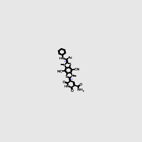 CC(=O)/C(Nc1ccccc1)=C1\Sc2c(C#N)c3c(c(C#N)c2N1C)S/C(=C1/C=C(C(N)=O)C(=O)NC1=O)N3C